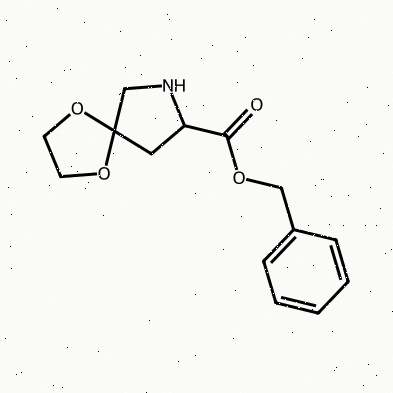 O=C(OCc1ccccc1)C1CC2(CN1)OCCO2